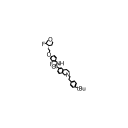 CC(C)(C)c1ccc(CCN2CCc3cc([S@@+]([O-])Nc4ccc(OCC[C@H]5CCOC[C@@H]5F)cc4F)ccc3C2)cc1